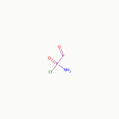 NP(=O)(Cl)P=O